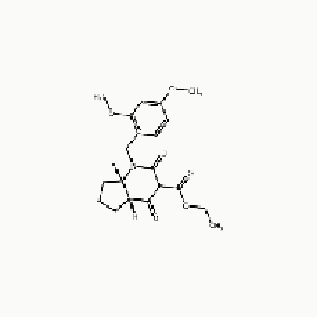 CCOC(=O)C1C(=O)[C@@H]2CCC[C@@H]2N(Cc2ccc(OC)cc2OC)C1=O